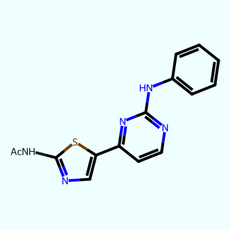 CC(=O)Nc1ncc(-c2ccnc(Nc3ccccc3)n2)s1